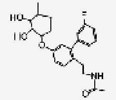 CC(=O)NCCc1ccc(OC2CCC(C)C(O)C2O)cc1-c1cccc(F)c1